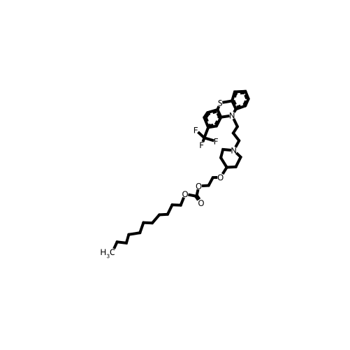 CCCCCCCCCCCOC(=O)OCCOC1CCN(CCCN2c3ccccc3Sc3ccc(C(F)(F)F)cc32)CC1